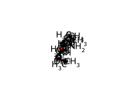 CO[C@@H]1C(OC(N)=O)[C@H](O)[C@H](Cc2ccc3c(O)c(NC(=O)c4ccc(O)c(CC=C(C)C)c4)c(=O)oc3c2)OC1(C)C